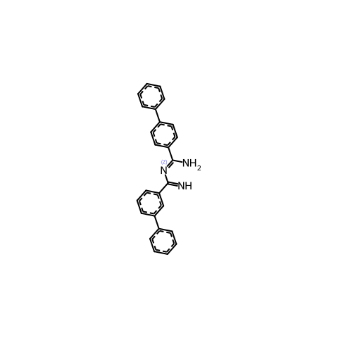 N=C(/N=C(\N)c1ccc(-c2ccccc2)cc1)c1cccc(-c2ccccc2)c1